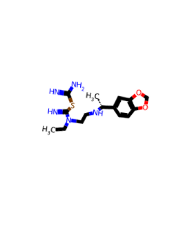 CCN(CCN[C@H](C)c1ccc2c(c1)OCO2)C(=N)SC(=N)N